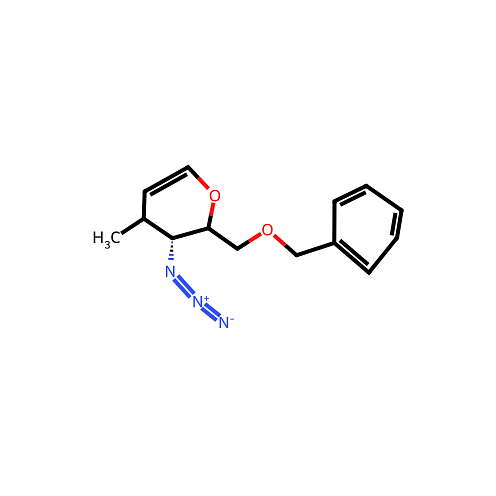 CC1C=COC(COCc2ccccc2)[C@@H]1N=[N+]=[N-]